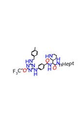 CCCCCCCNC(=O)C(NC(=O)c1ccc(Nc2nc(NCc3ccc(C)cc3)nc(OCC(F)(F)F)n2)cc1)C1CCCNC1